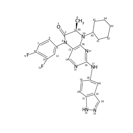 C[C@@H]1C(=O)N(c2ccc(F)c(F)c2)c2cnc(Nc3ccc4[nH]ncc4c3)nc2N1C1CCCCC1